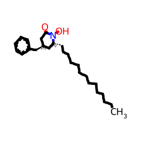 CCCCCCCCCCCCCC[C@@H]1C[C@@H](Cc2ccccc2)CC(=O)N1O